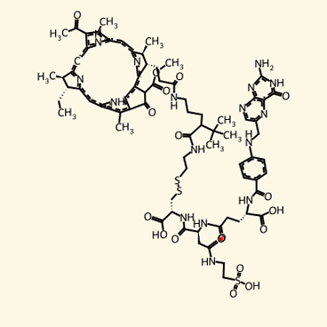 CC[C@H]1c2cc3[nH]c4c(c3C)C(=O)C(C(=O)OC)c4c3nc(cc4[nH]c(cc(n2)[C@@H]1C)c(C(C)=O)c4C)[C@@H](C)[C@@H]3CCC(=O)NCCCC(C(=O)NCCSSC[C@H](NC(=O)[C@H](CC(=O)NCCS(=O)(=O)O)NC(=O)CC[C@H](NC(=O)c1ccc(NCc2cnc3nc(N)[nH]c(=O)c3n2)cc1)C(=O)O)C(=O)O)C(C)(C)C